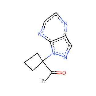 CC(C)C(=O)C1(n2ncc3nccnc32)CCC1